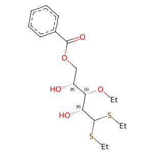 CCO[C@@H]([C@H](O)COC(=O)c1ccccc1)[C@@H](O)C(SCC)SCC